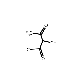 CC(C(=O)Cl)C(=O)C(F)(F)F